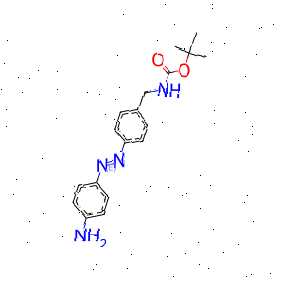 CC(C)(C)OC(=O)NCc1ccc(/N=N/c2ccc(N)cc2)cc1